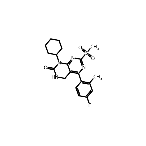 Cc1cc(F)ccc1-c1nc(S(C)(=O)=O)nc2c1CNC(=O)N2C1CCCCC1